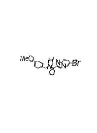 COc1ccc(CNC(=O)c2cn3cc(Br)ccc3n2)cc1